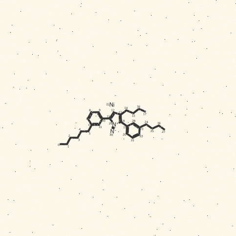 CCCCCCc1cccc(C2=CC(CCCC)=C(c3cccc(CCCC)c3)[N+]2=[N-])c1.[Ni]